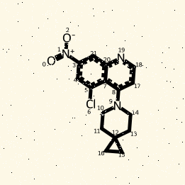 O=[N+]([O-])c1cc(Cl)c2c(N3CCC4(CC3)CC4)ccnc2c1